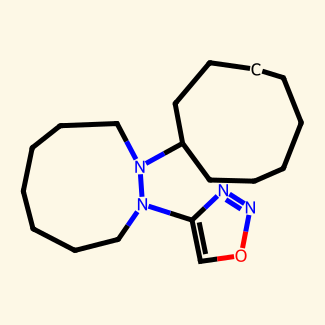 c1onnc1N1CCCCCCCN1C1CCCCCCCC1